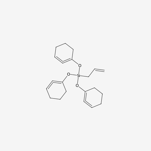 C=CC[Si](OC1=C=CCCC1)(OC1=C=CCCC1)OC1=C=CCCC1